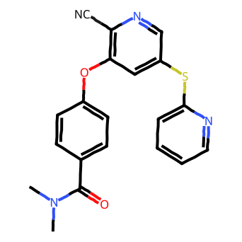 CN(C)C(=O)c1ccc(Oc2cc(Sc3ccccn3)cnc2C#N)cc1